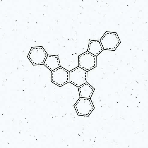 c1ccc2c(c1)cn1c3cc4c(cc3c3c(ccc5c6ccccc6sc53)c21)sc1ccccc14